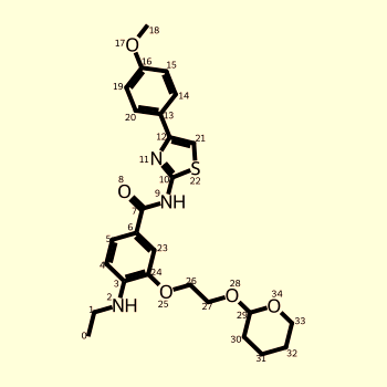 CCNc1ccc(C(=O)Nc2nc(-c3ccc(OC)cc3)cs2)cc1OCCOC1CCCCO1